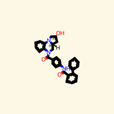 O=C(Nc1ccc(C(=O)N2C[C@H]3C[C@@H](O)CN3c3ccccc32)cc1)c1ccccc1-c1ccccc1